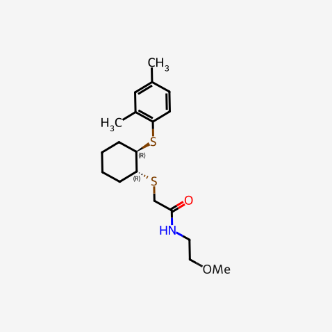 COCCNC(=O)CS[C@@H]1CCCC[C@H]1Sc1ccc(C)cc1C